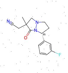 CC1(CC#N)CN2CC[C@H](c3cccc(F)c3)N2C1=O